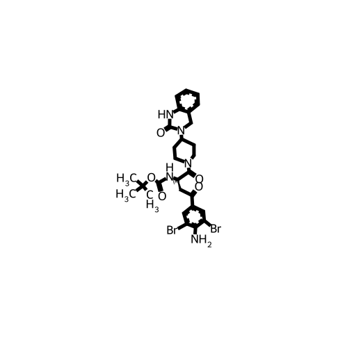 CC(C)(C)OC(=O)N[C@H](CC(=O)c1cc(Br)c(N)c(Br)c1)C(=O)N1CCC(N2Cc3ccccc3NC2=O)CC1